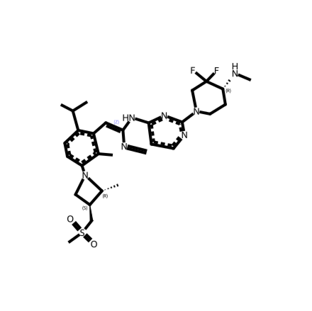 C=N/C(=C\c1c(C(C)C)ccc(N2C[C@H](CS(C)(=O)=O)[C@H]2C)c1C)Nc1ccnc(N2CC[C@@H](NC)C(F)(F)C2)n1